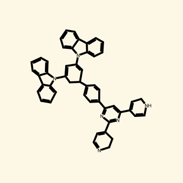 C1=CC(c2cc(-c3ccc(C4C=C(n5c6ccccc6c6ccccc65)C=C(n5c6ccccc6c6ccccc65)C4)cc3)nc(C3=CC=NCC3)n2)=CCN1